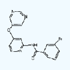 O=C(Nc1cc(Oc2cncnc2)ccn1)c1cccc(Br)c1